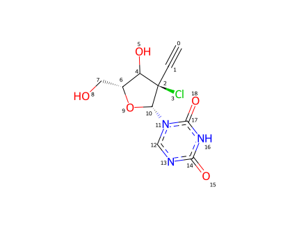 C#C[C@@]1(Cl)C(O)[C@@H](CO)O[C@H]1n1cnc(=O)[nH]c1=O